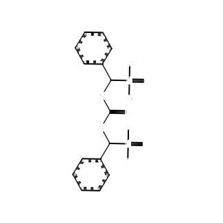 O=C(NC(c1ccccc1)P(=O)(O)O)NC(c1ccccc1)P(=O)(O)O